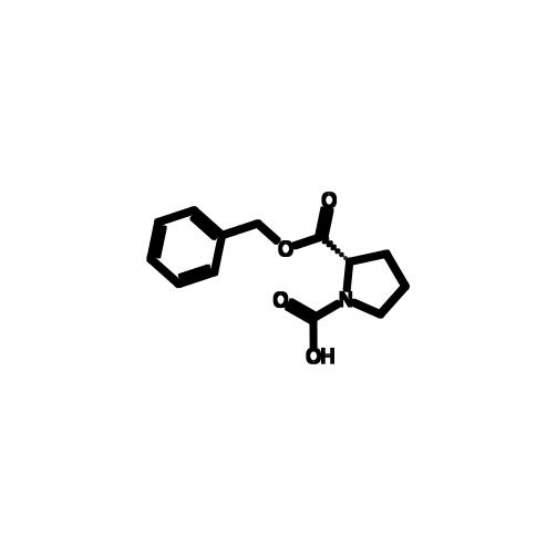 O=C(OCc1ccccc1)[C@@H]1CCCN1C(=O)O